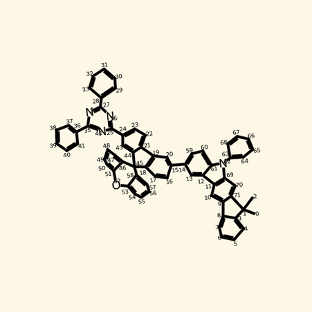 CC1(C)c2ccccc2-c2cc3c4cc(-c5ccc6c(c5)-c5ccc(-c7nc(-c8ccccc8)nc(-c8ccccc8)n7)cc5C65c6ccccc6Oc6ccccc65)ccc4n(-c4ccccc4)c3cc21